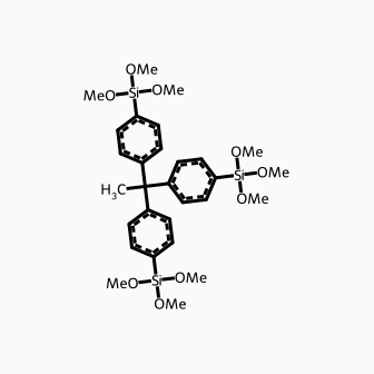 CO[Si](OC)(OC)c1ccc(C(C)(c2ccc([Si](OC)(OC)OC)cc2)c2ccc([Si](OC)(OC)OC)cc2)cc1